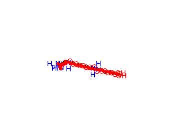 Nc1nc(OCc2ccc(CNC(=O)CCOCCOCCOCCOCCOCCOCCNC(=O)CCC(=O)NCCOCCOCCOCCOCCOCCP(=O)(O)O)cc2)c2nc[nH]c2n1